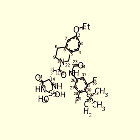 CCOc1ccc2c(c1)CCN(C(=O)C[C@@H]1NS(O)(O)NC1=O)[C@H]2C(=O)Nc1cc(F)c([Si](C)(C)C)c(F)c1